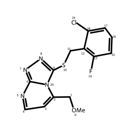 COCc1ccnc2nnc(SCc3c(F)cccc3Cl)n12